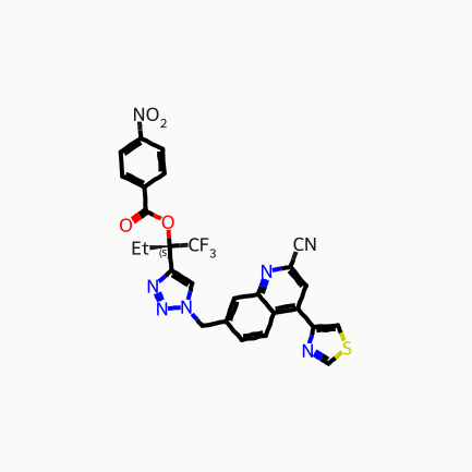 CC[C@](OC(=O)c1ccc([N+](=O)[O-])cc1)(c1cn(Cc2ccc3c(-c4cscn4)cc(C#N)nc3c2)nn1)C(F)(F)F